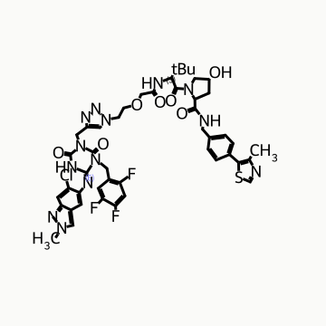 Cc1ncsc1-c1ccc(CNC(=O)C2CC(O)CN2C(=O)[C@@H](NC(=O)COCCn2cc(Cn3c(=O)[nH]/c(=N\c4cc5cn(C)nc5cc4Cl)n(Cc4cc(F)c(F)cc4F)c3=O)nn2)C(C)(C)C)cc1